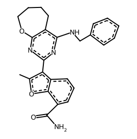 Cc1oc2c(C(N)=O)cccc2c1-c1nc(NCc2ccccc2)c2c(n1)OCCCC2